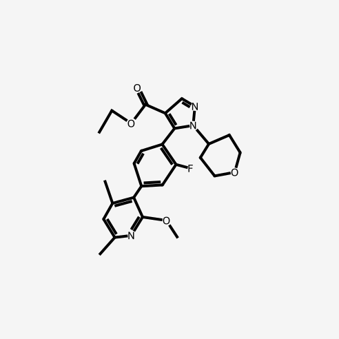 CCOC(=O)c1cnn(C2CCOCC2)c1-c1ccc(-c2c(C)cc(C)nc2OC)cc1F